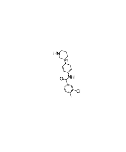 Cc1ccc(C(=O)NC2=CCC([C@@H]3CCCNC3)C=C2)cc1Cl